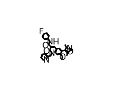 COc1cc2c(cc1-c1c(C)noc1C)cc(C(=O)Nc1ccc(F)cc1)c(=O)n2Cc1ccccn1